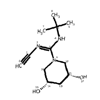 C#C/N=C(/NC(C)(C)C)N1C[C@H](O)C[C@H](O)C1